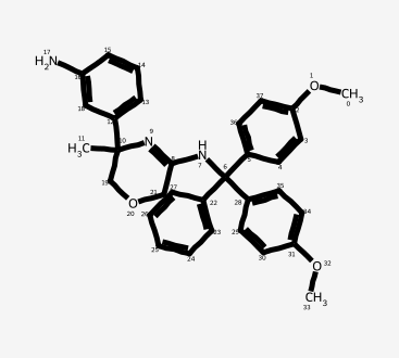 COc1ccc(C(NC2=NC(C)(c3cccc(N)c3)COC2)(c2ccccc2)c2ccc(OC)cc2)cc1